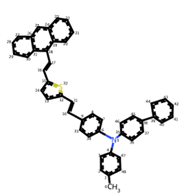 Cc1ccc(N(c2ccc(C=Cc3ccc(C=Cc4c5ccccc5cc5ccccc45)s3)cc2)c2ccc(-c3ccccc3)cc2)cc1